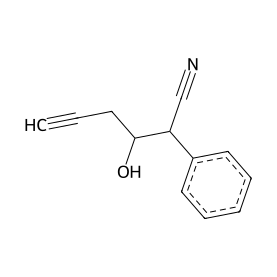 C#CCC(O)C(C#N)c1ccccc1